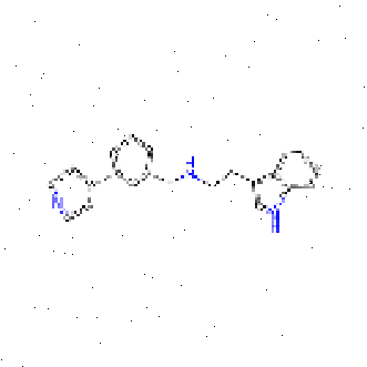 c1cc(CNCCc2c[nH]c3ccccc23)cc(-c2ccncc2)c1